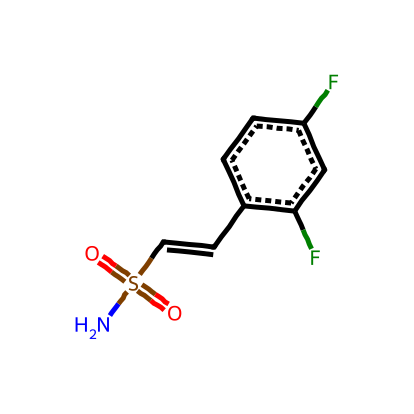 NS(=O)(=O)C=Cc1ccc(F)cc1F